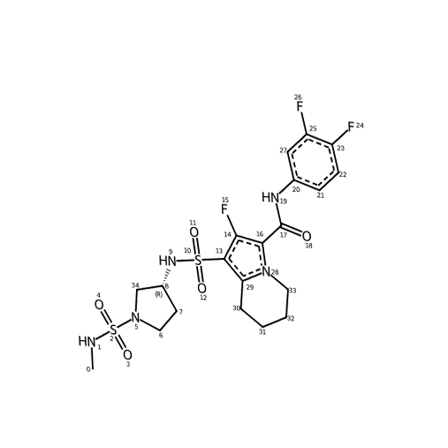 CNS(=O)(=O)N1CC[C@@H](NS(=O)(=O)c2c(F)c(C(=O)Nc3ccc(F)c(F)c3)n3c2CCCC3)C1